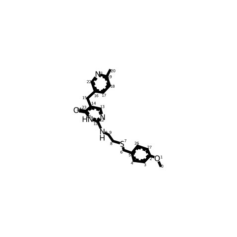 COc1ccc(CSCCNc2ncc(Cc3ccc(C)nc3)c(=O)[nH]2)cc1